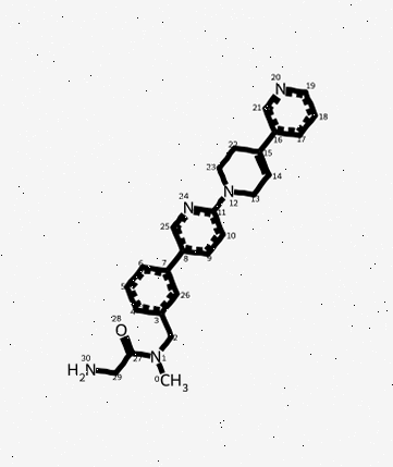 CN(Cc1cccc(-c2ccc(N3CC=C(c4cccnc4)CC3)nc2)c1)C(=O)CN